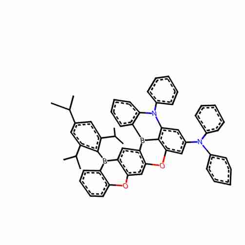 CC(C)c1cc(C(C)C)c(B2c3ccccc3Oc3cc4c(cc32)B2c3ccccc3N(c3ccccc3)c3cc(N(c5ccccc5)c5ccccc5)cc(c32)O4)c(C(C)C)c1